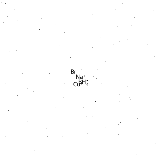 [BH4-].[Br-].[Cu+].[Na+]